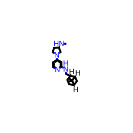 CN[C@@H]1CCN(c2ccnc(NC[C@H]3CC[C@H]4C[C@@H]3C4(C)C)c2)C1